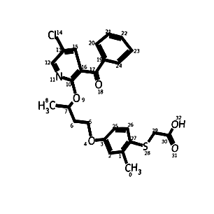 Cc1cc(OCCC(C)Oc2ncc(Cl)cc2C(=O)c2ccccc2)ccc1SCC(=O)O